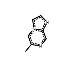 Cc1cn2c[c]nc2cn1